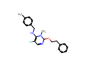 Cc1ccc(CNC2=C(F)C=NC(OCCc3ccccc3)N2C)cc1